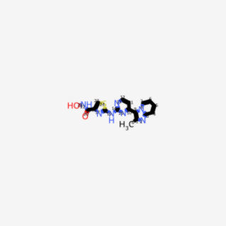 Cc1nc2ccccn2c1-c1ccnc(Nc2nc(C(=O)NO)cs2)n1